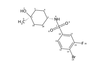 C[C@]1(O)CC[C@H](NS(=O)(=O)c2ccc(Br)c(F)c2)CC1